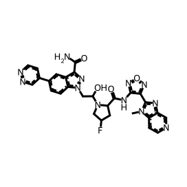 Cn1c(-c2nonc2NC(=O)C2CC(F)CN2C(O)Cn2nc(C(N)=O)c3cc(-c4ccnnc4)ccc32)nc2cnccc21